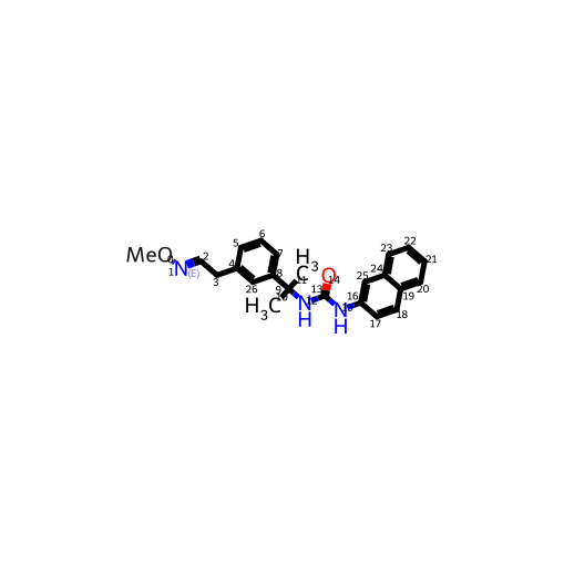 CO/N=C/Cc1cccc(C(C)(C)NC(=O)Nc2ccc3ccccc3c2)c1